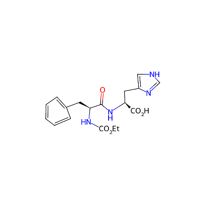 CCOC(=O)N[C@@H](Cc1ccccc1)C(=O)N[C@@H](Cc1c[nH]cn1)C(=O)O